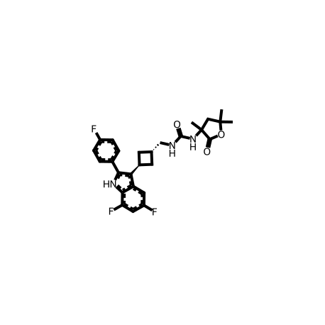 CC1(C)CC(C)(NC(=O)NC[C@H]2C[C@H](c3c(-c4ccc(F)cc4)[nH]c4c(F)cc(F)cc43)C2)C(=O)O1